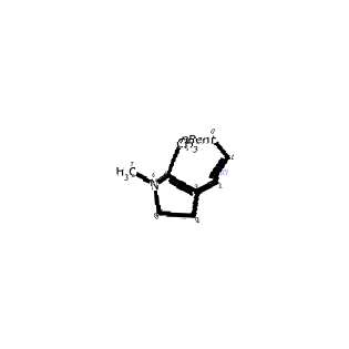 CCCCC/C=C\C1=C(C)N(C)CC1